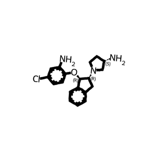 Nc1cc(Cl)ccc1O[C@@H]1c2ccccc2C[C@H]1N1CC[C@H](N)C1